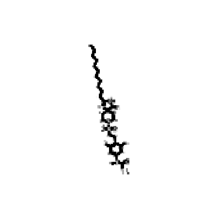 CCCCCCCCCCCC1=NC2(CCN(S(=O)(=O)CCc3c(C)cc(N(C)C(N)=O)cc3C)CC2)C(=O)N1